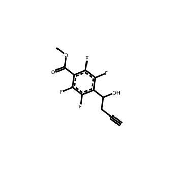 C#CCC(O)c1c(F)c(F)c(C(=O)OC)c(F)c1F